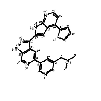 CN(C)Cc1cncc(-c2cc3c(-c4cc5c(-c6cccs6)ccnc5[nH]4)n[nH]c3cn2)c1